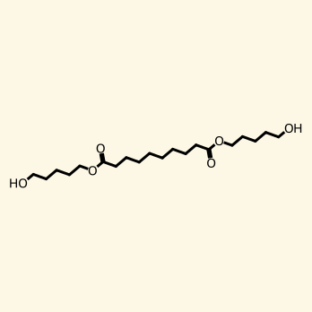 O=C(CCCCCCCCC(=O)OCCCCCO)OCCCCCO